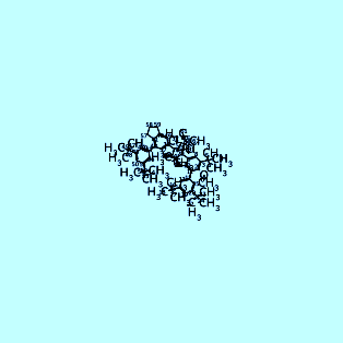 COc1c(C(C)(C)C)cc2c(c1-c1cc(C(C)(C)C)cc(C(C)(C)C)c1)C=C(C)[CH]2[Zr]([Cl])([Cl])([CH]1C(C)=Cc2c1cc1c(c2-c2cc(C(C)(C)C)cc(C(C)(C)C)c2)CCC1)[SiH](C)C